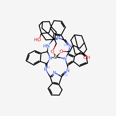 OC12CC3CC(C1)CC(CO[Si]1(OCC45CC6CC(CC(O)(C6)C4)C5)N4/C5=N\C6=NC(=N\c7c8ccccc8c(n71)/N=C1\N=C(NC4c4ccccc45)C4=C1C=CCC4)/C1=C6C=CCC1)(C3)C2